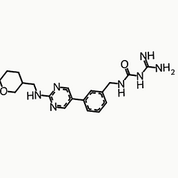 N=C(N)NC(=O)NCc1cccc(-c2cnc(NCC3CCCOC3)nc2)c1